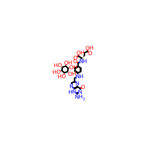 Nc1nc(=O)c2nc(CNc3ccc(C(=O)N[C@@H](CCC(=O)O)C(=O)O)cc3)cnc2[nH]1.O[C@H]1[C@H](O)[C@@H](O)[C@H](O)[C@@H](O)[C@H]1O